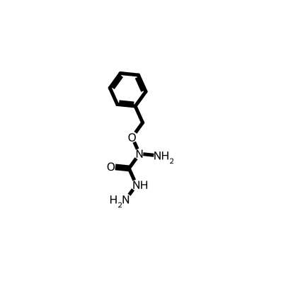 NNC(=O)N(N)OCc1ccccc1